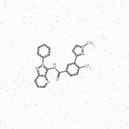 Cn1ccc(-c2cc(C(=O)Nc3c4ncccc4nn3-c3ccccc3)ccc2C(F)(F)F)n1